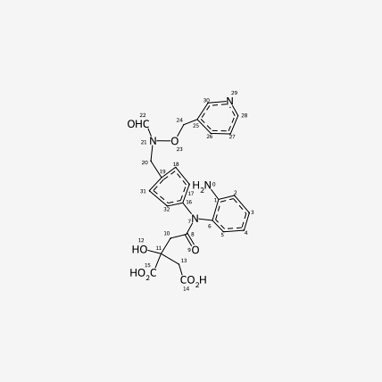 Nc1ccccc1N(C(=O)CC(O)(CC(=O)O)C(=O)O)c1ccc(CN(C=O)OCc2cccnc2)cc1